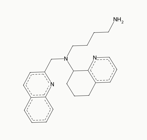 NCCCCN(Cc1ccc2ccccc2n1)C1CCCc2cccnc21